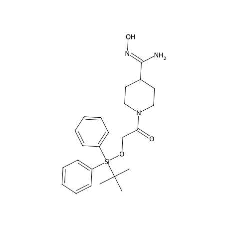 CC(C)(C)[Si](OCC(=O)N1CCC(C(N)=NO)CC1)(c1ccccc1)c1ccccc1